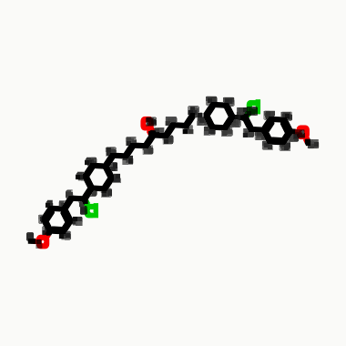 COc1ccc(CC(Cl)C2CCC(CCCCC(=O)CCCC[C@H]3CC[C@H](C(Cl)Cc4ccc(OC)cc4)CC3)CC2)cc1